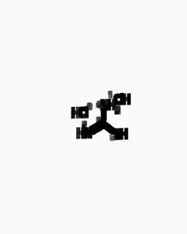 Cl.Cl.N=C(N)S